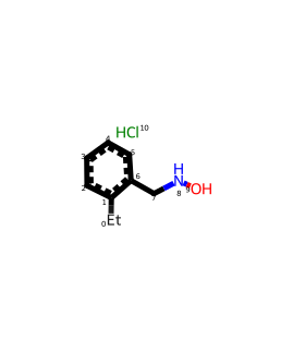 CCc1ccccc1CNO.Cl